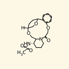 CS(=O)(=O)N[C@H]1CCCN2C(=O)COc3ccccc3C3CC[C@H](CO3)OCC12